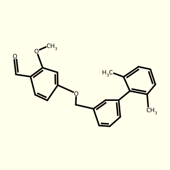 COc1cc(OCc2cccc(-c3c(C)cccc3C)c2)ccc1C=O